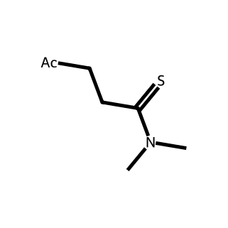 CC(=O)CCC(=S)N(C)C